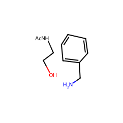 CC(=O)NCCO.NCc1ccccc1